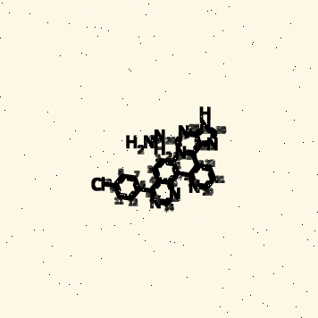 Cc1ccc2c(-c3ccc(Cl)cc3)ncnc2c1-c1ncccc1-c1ncnc2[nH]cnc12.NN